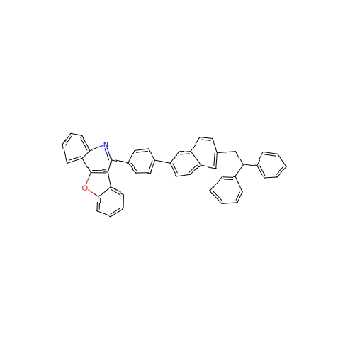 c1ccc(C(Cc2ccc3cc(-c4ccc(-c5nc6ccccc6c6oc7ccccc7c56)cc4)ccc3c2)c2ccccc2)cc1